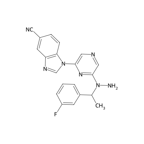 CC(c1cccc(F)c1)N(N)c1cncc(-n2cnc3cc(C#N)ccc32)n1